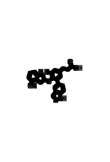 Nc1cc(CCC(=O)O)cc(-c2ccc3[nH]ncc3c2)c1OC1Cc2cccc(O)c2C1